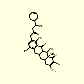 CC(=O)C1=C(C)CC2CC3Cc4c(C(C)C)cc(CC(=O)CC(O)C5CC=CCC5)c(C)c4C(=O)C3C(C)C2(C)C1=O